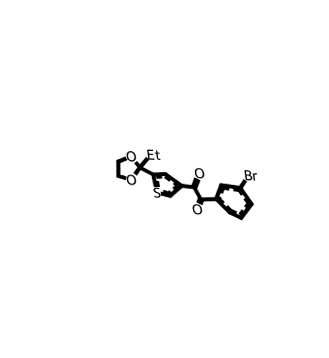 CCC1(c2cc(C(=O)C(=O)c3cccc(Br)c3)cs2)OCCO1